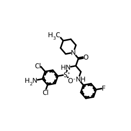 CC1CCN(C(=O)C(CNc2cccc(F)c2)N[S+]([O-])c2cc(Cl)c(N)c(Cl)c2)CC1